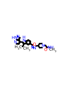 CNC(=O)CN1CCC(c2nnc(-c3ccc4[nH]c(-c5ccnc6[nH]ncc56)c(C(C)C)c4c3)o2)CC1